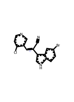 N#C/C(=C\c1cnccc1Cl)c1c[nH]c2ccc(Br)cc12